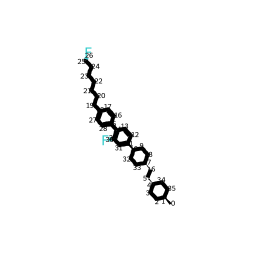 C[C@H]1CC[C@H](CC[C@H]2CC[C@H](c3ccc(-c4ccc(CCCCCCCF)cc4)c(F)c3)CC2)CC1